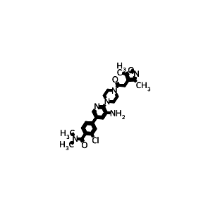 Cc1noc(C)c1CC(=O)N1CCN(c2ncc(-c3ccc(C(=O)N(C)C)c(Cl)c3)cc2N)CC1